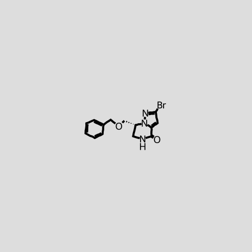 O=C1NC[C@H](COCc2ccccc2)n2nc(Br)cc21